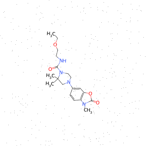 CCOCCNC(=O)N1CCN(c2ccc3c(c2)oc(=O)n3C)CC1(C)C